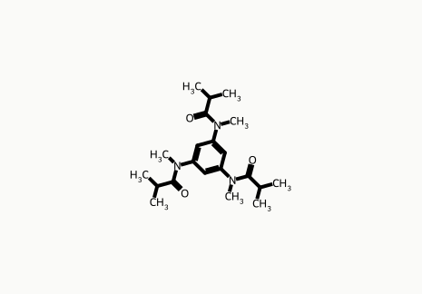 CC(C)C(=O)N(C)c1cc(N(C)C(=O)C(C)C)cc(N(C)C(=O)C(C)C)c1